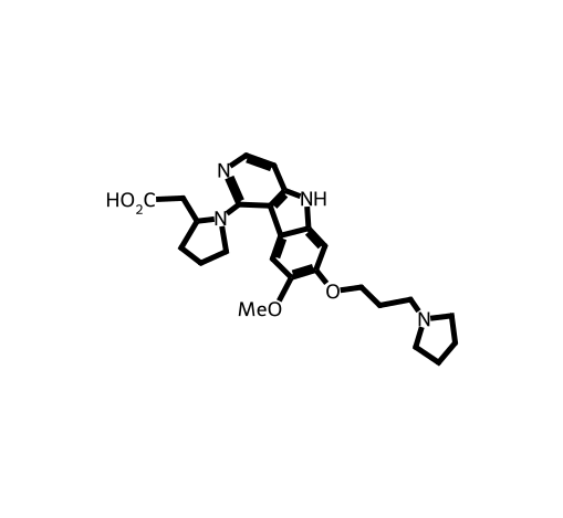 COc1cc2c(cc1OCCCN1CCCC1)[nH]c1ccnc(N3CCCC3CC(=O)O)c12